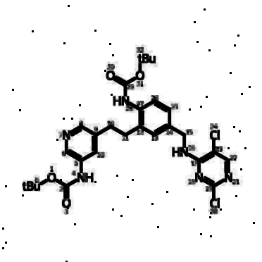 CC(C)(C)OC(=O)Nc1cncc(CCc2cc(CNc3nc(Cl)ncc3Cl)ccc2NC(=O)OC(C)(C)C)c1